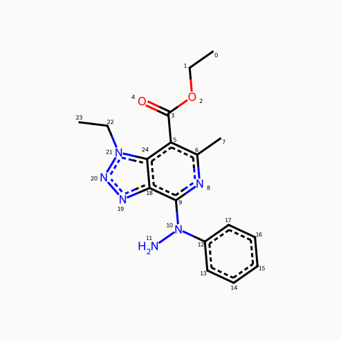 CCOC(=O)c1c(C)nc(N(N)c2ccccc2)c2nnn(CC)c12